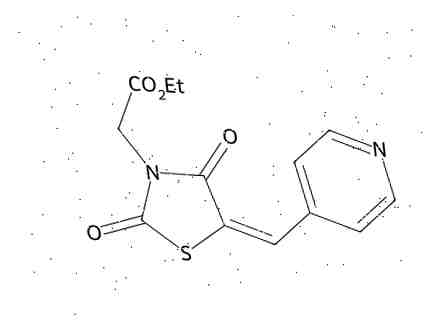 CCOC(=O)CN1C(=O)SC(=Cc2ccncc2)C1=O